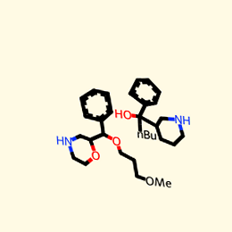 CCCCC(O)(c1ccccc1)C1CCCNC1.COCCCOC(c1ccccc1)C1CNCCO1